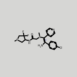 CN1CC(NC(=O)CN(C)/C(=C(\N)c2ccc(Cl)cc2)c2ccncc2)C(F)(F)C1